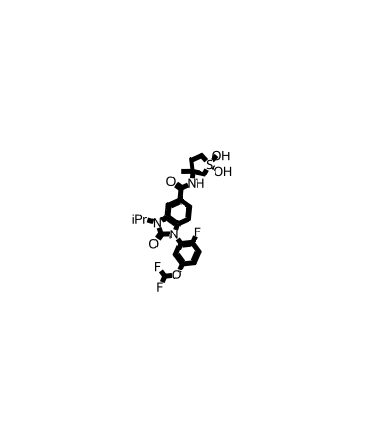 CC(C)n1c(=O)n(-c2cc(OC(F)F)ccc2F)c2ccc(C(=O)NC3(C)CCS(O)(O)C3)cc21